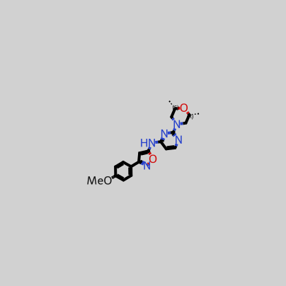 COc1ccc(-c2cc(Nc3ccnc(N4C[C@@H](C)O[C@@H](C)C4)n3)on2)cc1